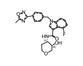 Cc1nc(-c2ccc(Cn3cc(C(=O)N[C@H]4CCOC[C@@H]4O)c4c(F)cccc43)cc2)no1